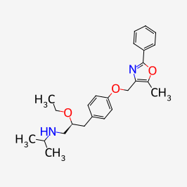 CCO[C@H](CNC(C)C)Cc1ccc(OCc2nc(-c3ccccc3)oc2C)cc1